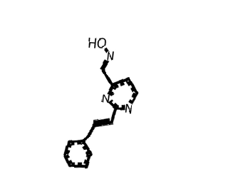 ON=Cc1ccnc(C=Cc2ccccc2)n1